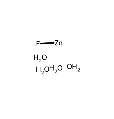 O.O.O.O.[F][Zn]